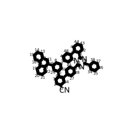 N#Cc1ccc(-c2cccc(-c3cc4ccccc4c4ccccc34)c2)c(-c2ccc(-c3nc(-c4ccccc4)nc(-c4ccccc4-c4ccccc4)n3)cc2)c1